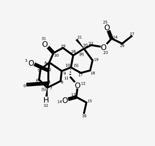 C=C1C(=O)C23CC[C@H]1CC2[C@]1(COC(=O)CC)CCC[C@@](C)(COC(=O)CC)C1CC3=O